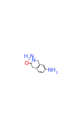 Nc1ccc2c(c1)CN(N)C(=O)C2